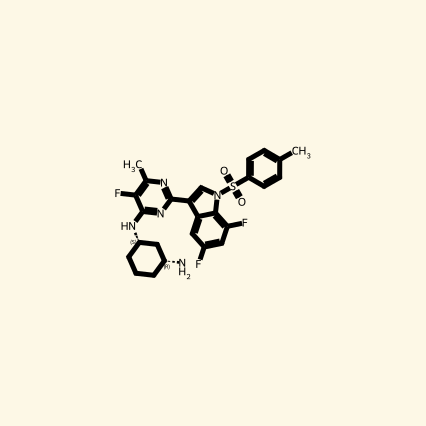 Cc1ccc(S(=O)(=O)n2cc(-c3nc(C)c(F)c(N[C@H]4CCC[C@@H](N)C4)n3)c3cc(F)cc(F)c32)cc1